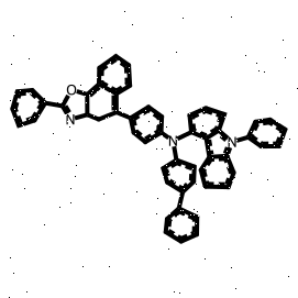 c1ccc(C2=NC3CC(c4ccc(N(c5ccc(-c6ccccc6)cc5)c5cccc6c5c5ccccc5n6-c5ccccc5)cc4)=c4ccccc4=C3O2)cc1